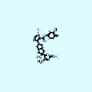 Cn1cnc(C2CC3CC(O)(c4nc(N)nn4C)CC3C2)c1C(=O)Nc1ccc(F)c(Cl)c1